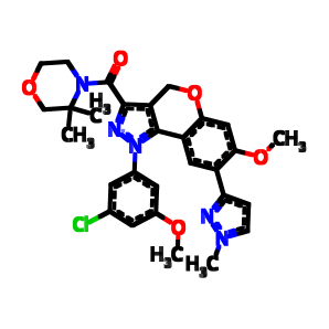 COc1cc(Cl)cc(-n2nc(C(=O)N3CCOCC3(C)C)c3c2-c2cc(-c4ccn(C)n4)c(OC)cc2OC3)c1